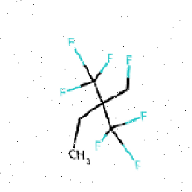 CCC(CF)(C(F)(F)F)C(F)(F)F